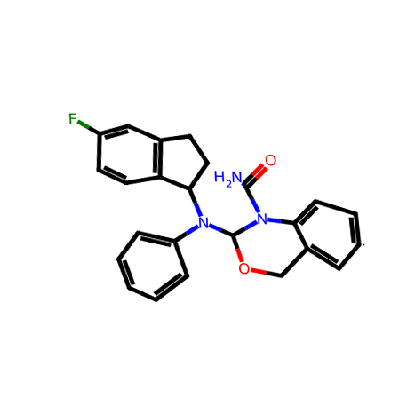 NC(=O)N1c2cc[c]cc2COC1N(c1ccccc1)C1CCc2cc(F)ccc21